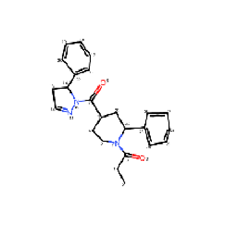 CCC(=O)N1CCC(C(=O)N2N=CCC2c2ccccc2)CC1c1ccccc1